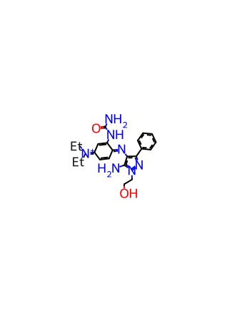 CC[N+](CC)=C1C=C/C(=N\c2c(-c3ccccc3)nn(CCO)c2N)C(NC(N)=O)=C1